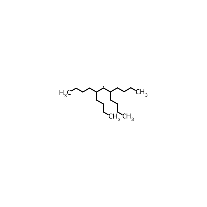 CCCCC([CH]C(CCCC)CCCC)CCCC